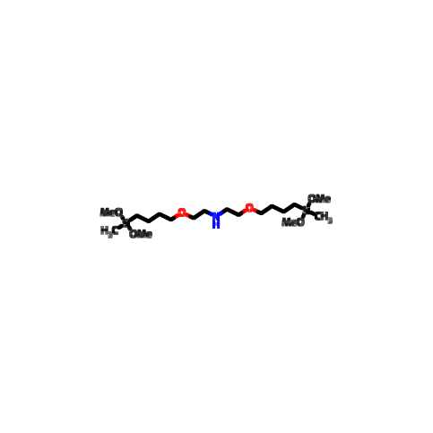 CO[Si](C)(CCCCOCCNCCOCCCC[Si](C)(OC)OC)OC